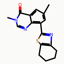 Cc1cc(-c2nc3c(s2)CCCC3)c2ncn(C)c(=O)c2c1